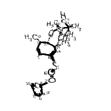 C[C@H]1C=CC(SOOc2ccccc2)=C[C@H](C)[C@H]1O[Si](C)(C)C(C)(C)C